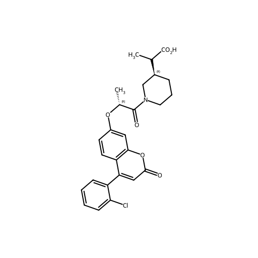 CC(C(=O)O)[C@H]1CCCN(C(=O)[C@@H](C)Oc2ccc3c(-c4ccccc4Cl)cc(=O)oc3c2)C1